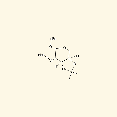 CCCCO[C@@H]1OC[C@H]2OC(C)(C)O[C@H]2[C@@H]1OCCCC